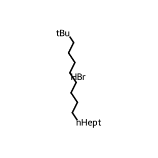 Br.CCCCCCCCCCCCCCCC(C)(C)C